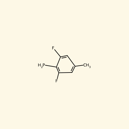 Cc1cc(F)c(P)c(F)c1